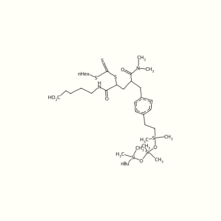 CCCCCCSC(=S)SC(CC(Cc1ccc(CC[Si](C)(C)O[Si](C)(C)O[Si](C)(C)CCCC)cc1)C(=O)N(C)C)C(=O)NCCCCC(=O)O